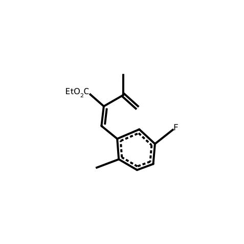 C=C(C)/C(=C\c1cc(F)ccc1C)C(=O)OCC